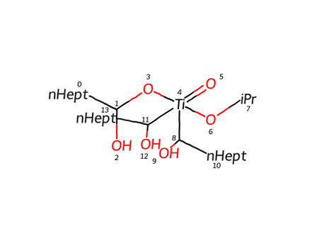 CCCCCCCC(O)[O][Ti](=[O])([O]C(C)C)([CH](O)CCCCCCC)[CH](O)CCCCCCC